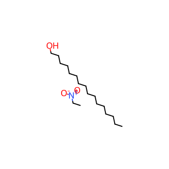 CCCCCCCCCCCCCCCCO.CC[N+](=O)[O-]